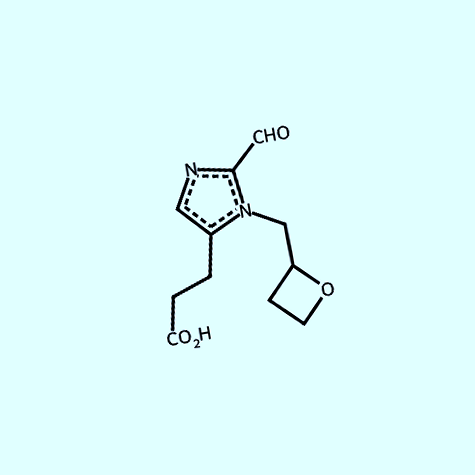 O=Cc1ncc(CCC(=O)O)n1CC1CCO1